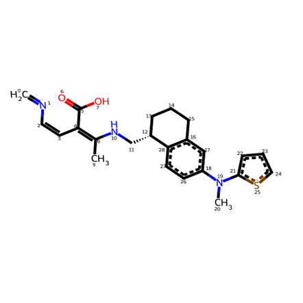 C=N/C=C\C(C(=O)O)=C(/C)NC[C@@H]1CCCc2cc(N(C)c3cccs3)ccc21